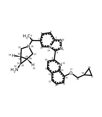 CC(c1ccc2nnc(-c3ccc4cccc(OCC5CC5)c4n3)n2c1)N1C[C@@H]2[C@@H](N)[C@@H]2C1